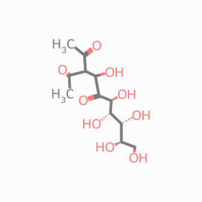 CC(=O)C(C(C)=O)C(O)C(=O)[C@@H](O)[C@@H](O)[C@H](O)[C@H](O)CO